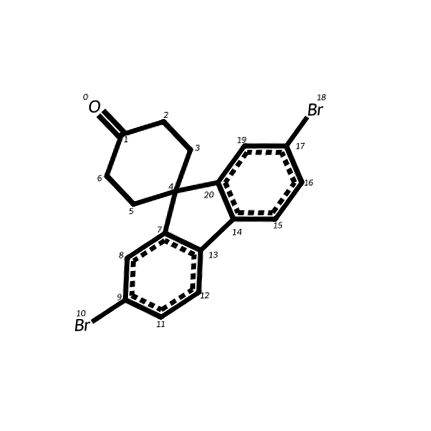 O=C1CCC2(CC1)c1cc(Br)ccc1-c1ccc(Br)cc12